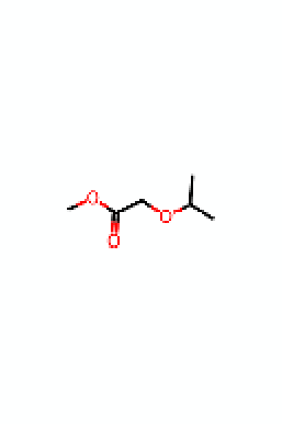 COC(=O)COC(C)C